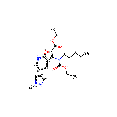 CCCCCN(C(=O)OCC)c1c(C(=O)OCC)oc2ncc(-c3cnn(C)c3)cc12